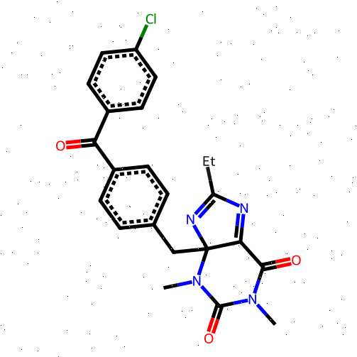 CCC1=NC2(Cc3ccc(C(=O)c4ccc(Cl)cc4)cc3)C(=N1)C(=O)N(C)C(=O)N2C